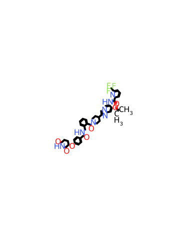 CC(C)Oc1cc2nc(C3CCN(C(=O)c4ccccc4CNC(=O)c4ccc(OC5CCC(=O)NC5=O)cc4)CC3)cn2cc1NC(=O)c1cccc(C(F)(F)F)n1